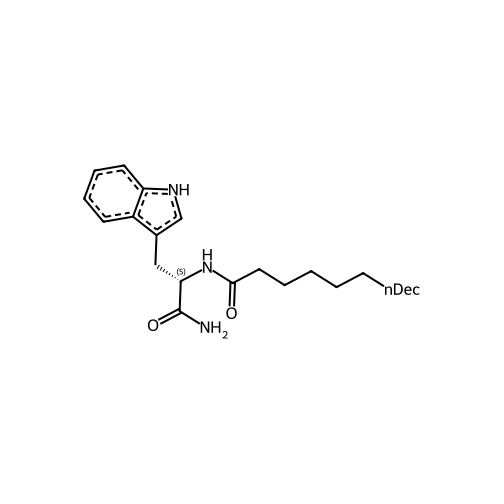 CCCCCCCCCCCCCCCC(=O)N[C@@H](Cc1c[nH]c2ccccc12)C(N)=O